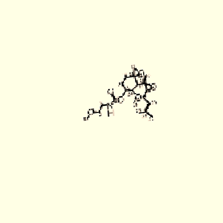 COCCNC(=O)OC1CCC2(CO2)C(C2(C)OC2CC=C(C)C)C1OC